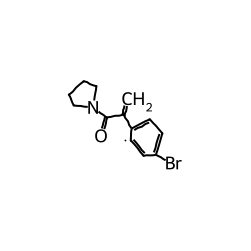 C=C(C(=O)N1CCCC1)c1[c]cc(Br)cc1